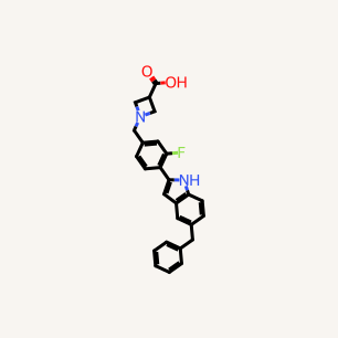 O=C(O)C1CN(Cc2ccc(-c3cc4cc(Cc5ccccc5)ccc4[nH]3)c(F)c2)C1